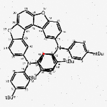 CC(C)(C)c1ccc(N(c2ccc(C(C)(C)C)cc2)c2ccc3oc4ccc5oc6ccc(N(c7ccc(C(C)(C)C)cc7)c7ccc(C(C)(C)C)cc7)cc6c5c4c3c2)cc1